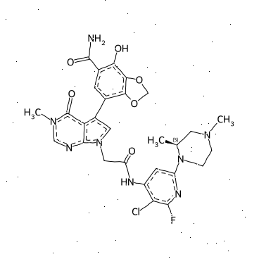 C[C@H]1CN(C)CCN1c1cc(NC(=O)Cn2cc(-c3cc(C(N)=O)c(O)c4c3OCO4)c3c(=O)n(C)cnc32)c(Cl)c(F)n1